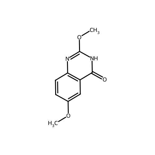 COc1ccc2nc(OC)[nH]c(=O)c2c1